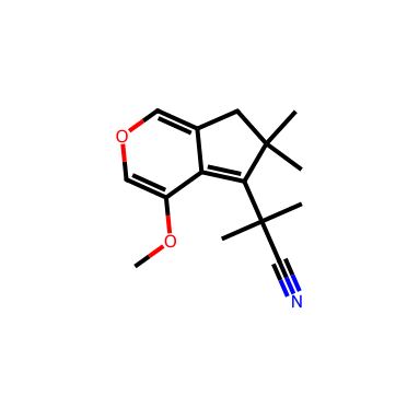 COC1=COC=C2CC(C)(C)C(C(C)(C)C#N)=C21